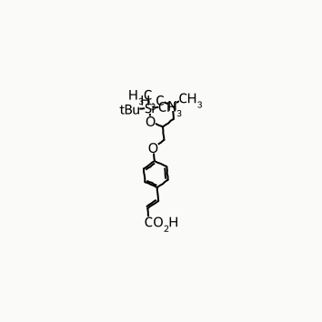 CN(C)CC(COc1ccc(C=CC(=O)O)cc1)O[Si](C)(C)C(C)(C)C